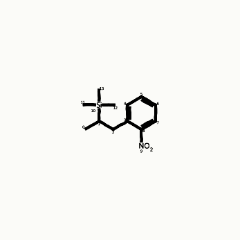 CC(Cc1ccccc1[N+](=O)[O-])[Si](C)(C)C